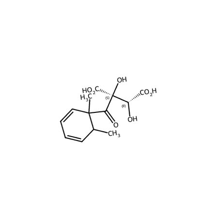 CC1C=CC=CC1(C)C(=O)[C@](O)(C(=O)O)[C@@H](O)C(=O)O